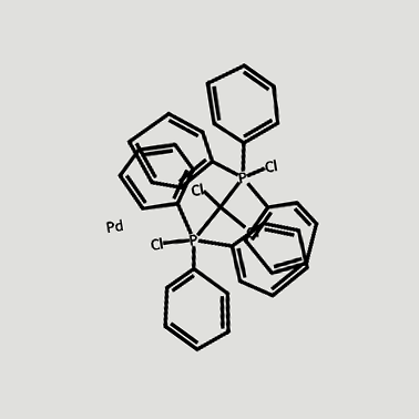 ClC(Cl)(P(Cl)(c1ccccc1)(c1ccccc1)c1ccccc1)P(Cl)(c1ccccc1)(c1ccccc1)c1ccccc1.[Pd]